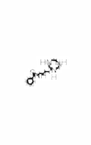 O=C(NCCCC[C@H]1CNCCNCCN1)c1ccccc1